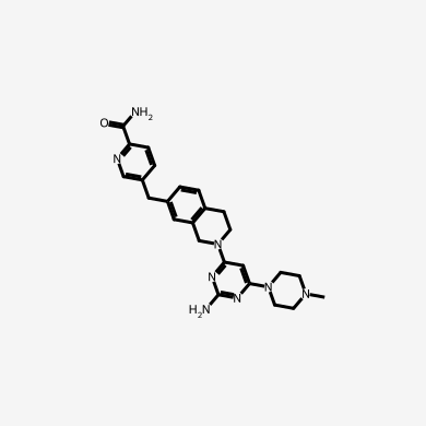 CN1CCN(c2cc(N3CCc4ccc(Cc5ccc(C(N)=O)nc5)cc4C3)nc(N)n2)CC1